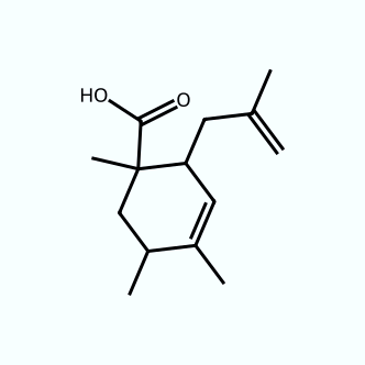 C=C(C)CC1C=C(C)C(C)CC1(C)C(=O)O